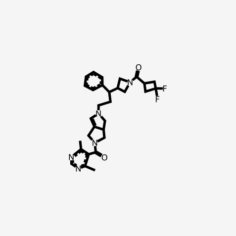 Cc1ncnc(C)c1C(=O)N1CC2=CN(CCC(c3ccccc3)C3CN(C(=O)C4CC(F)(F)C4)C3)CC2C1